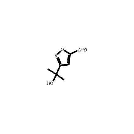 CC(C)(O)c1cc(C=O)on1